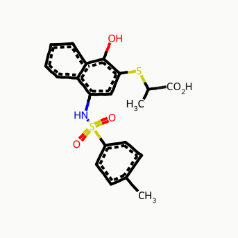 Cc1ccc(S(=O)(=O)Nc2cc(SC(C)C(=O)O)c(O)c3ccccc23)cc1